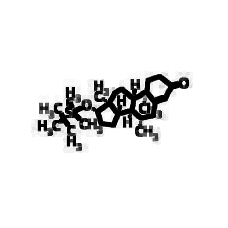 C[C@H]1CC2=CC(=O)CC[C@]2(C)[C@H]2CC[C@]3(C)[C@@H](O[Si](C)(C)C(C)(C)C)CC[C@H]3[C@H]12